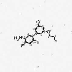 CCCOc1cc(-c2cc(N)c(F)cc2C)cc(Cl)n1